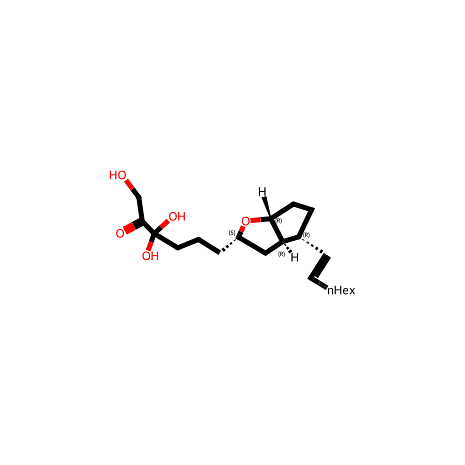 CCCCCCC=C[C@H]1CC[C@H]2O[C@@H](CCCC(O)(O)C(=O)CO)C[C@H]12